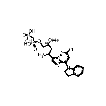 CO[C@H](COP(=O)(O)CP(=O)(O)O)CC(C)c1cnc2c(N3CCc4ccccc43)cc(Cl)nn12